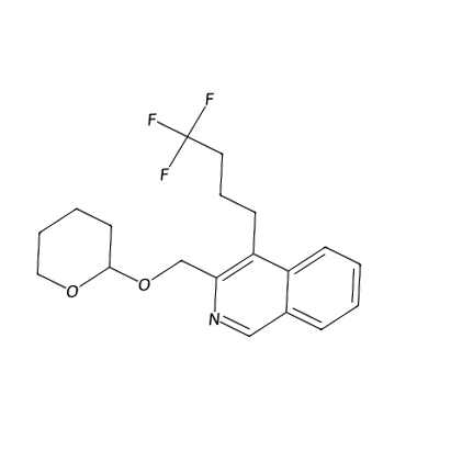 FC(F)(F)CCCc1c(COC2CCCCO2)ncc2ccccc12